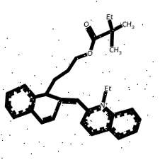 CC[n+]1c(/C=C2\C=Cc3ccccc3C2CCCOC(=O)C(C)(C)CC)ccc2ccccc21